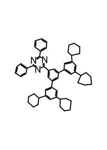 c1ccc(-c2nc(-c3ccccc3)nc(-c3cc(-c4cc(C5CCCCC5)cc(C5CCCCC5)c4)cc(-c4cc(C5CCCCC5)cc(C5CCCCC5)c4)c3)n2)cc1